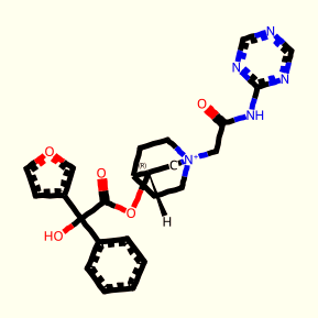 O=C(C[N+]12CCC(CC1)[C@@H](OC(=O)C(O)(c1ccccc1)c1ccoc1)C2)Nc1ncncn1